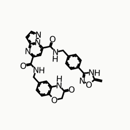 C=C1NC(c2ccc(CNC(=O)c3cc(C(=O)NCc4ccc5c(c4)NC(=O)CO5)nc4ccnn34)cc2)=NO1